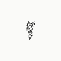 COCC(C)n1c(=O)c2c(-c3noc(-c4ccc(F)cc4F)n3)ncn2c2ccc(Cl)c(C#N)c21